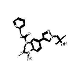 CC(=O)N1c2ccc(-c3cnn(CC(C)(C)O)c3)cc2N(C(=O)Oc2ccccn2)C[C@@H]1C